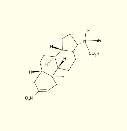 CC(C)[N+](C(=O)O)(C(C)C)[C@H]1CC[C@H]2[C@@H]3CC[C@H]4CC([N+](=O)[O-])=CC[C@]4(C)[C@H]3CC[C@@]21C